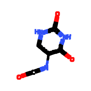 O=C=Nc1c[nH]c(=O)[nH]c1=O